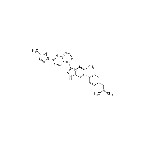 CC1=NN2C(c3ccnc4nc(-n5ncc(C)n5)ccc34)=CNC2C=C1c1ccc(CN(C)C)cc1